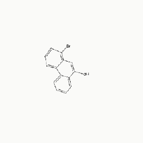 Oc1cc2c(Br)cccc2c2ccccc12